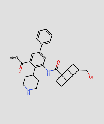 COC(=O)c1cc(-c2ccccc2)cc(NC(=O)C23C4C5C2C2C3C4C52CO)c1C1CCNCC1